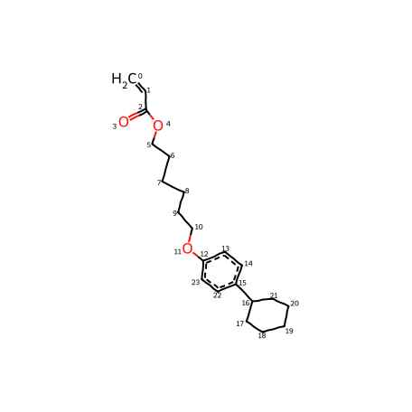 C=CC(=O)OCCCCCCOc1ccc(C2CCCCC2)cc1